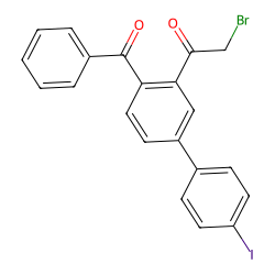 O=C(CBr)c1cc(-c2ccc(I)cc2)ccc1C(=O)c1ccccc1